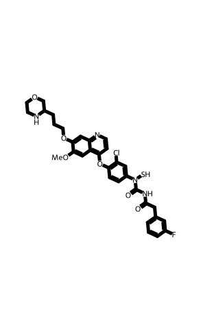 COc1cc2c(Oc3ccc(N(S)C(=O)NC(=O)Cc4cccc(F)c4)cc3Cl)ccnc2cc1OCCCC1COCCN1